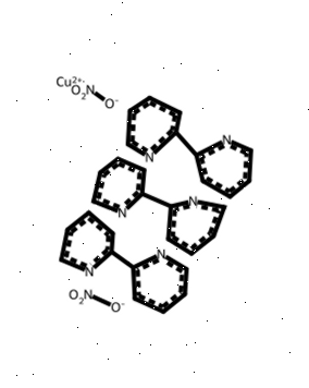 O=[N+]([O-])[O-].O=[N+]([O-])[O-].[Cu+2].c1ccc(-c2ccccn2)nc1.c1ccc(-c2ccccn2)nc1.c1ccc(-c2ccccn2)nc1